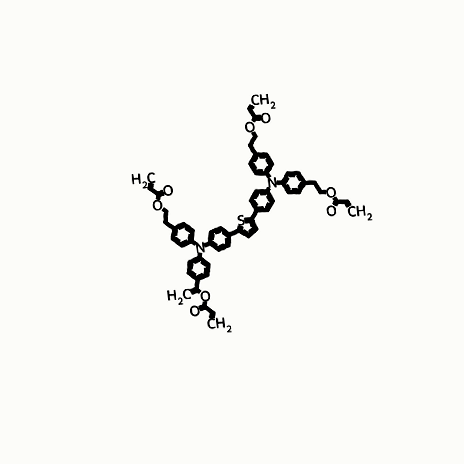 C=CC(=O)OCCc1ccc(N(c2ccc(CCOC(=O)C=C)cc2)c2ccc(-c3ccc(-c4ccc(N(c5ccc(CCOC(=O)C=C)cc5)c5ccc(C(=C)OC(=O)C=C)cc5)cc4)s3)cc2)cc1